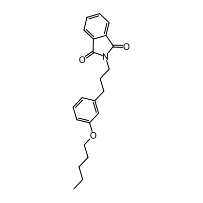 CCCCCOc1cccc(CCCN2C(=O)c3ccccc3C2=O)c1